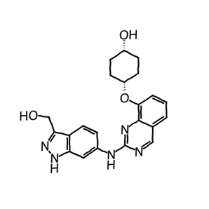 OCc1n[nH]c2cc(Nc3ncc4cccc(O[C@H]5CC[C@@H](O)CC5)c4n3)ccc12